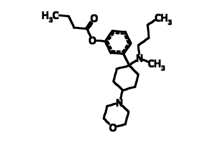 CCCCN(C)C1(c2cccc(OC(=O)CCC)c2)CCC(N2CCOCC2)CC1